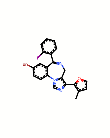 Cc1ccoc1-c1ncn2c1CN=C(c1ccccc1I)c1cc(Br)ccc1-2